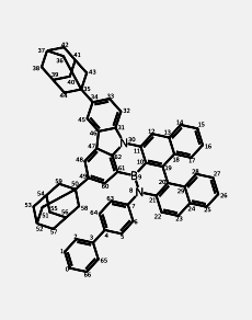 c1ccc(-c2ccc(N3B4c5c(cc6ccccc6c5-c5c3ccc3ccccc53)-n3c5ccc(C67CC8CC(CC(C8)C6)C7)cc5c5cc(C67CC8CC(CC(C8)C6)C7)cc4c53)cc2)cc1